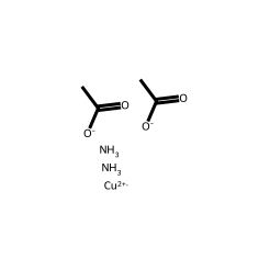 CC(=O)[O-].CC(=O)[O-].N.N.[Cu+2]